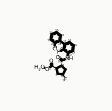 COC(=O)[C@@H]1C[C@H](F)C[C@H]1C(=O)Nc1cccc(-c2ccccc2Cl)c1F